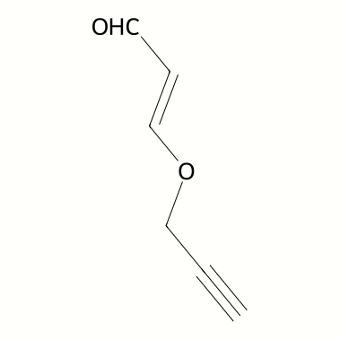 C#CCOC=CC=O